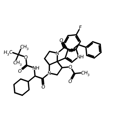 CC(=O)OC1CN(C(=O)C(NC(=O)OC(C)(C)C)C2CCCCC2)C2CCN(C(=O)OCc3ccccc3)C12c1c[nH]c2cc(F)ccc12